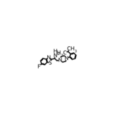 CC(C)c1ccccc1N1CCN(CC(N)c2nc3ccc(F)cc3s2)CC1